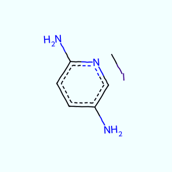 CI.Nc1ccc(N)nc1